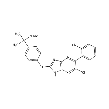 CC(=O)NC(C)(C)c1ccc(Oc2nc3nc(-c4ccccc4Cl)c(Cl)cc3[nH]2)cc1